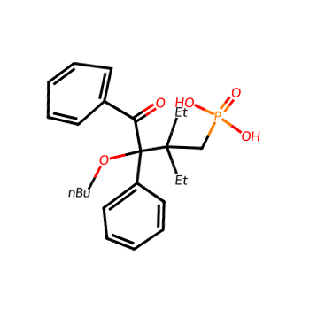 CCCCOC(C(=O)c1ccccc1)(c1ccccc1)C(CC)(CC)CP(=O)(O)O